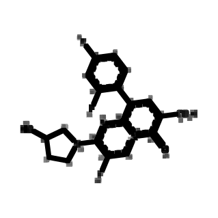 O=C(O)c1cc(-c2ccc(F)cc2F)c2nc(N3CCC(O)C3)c(F)cn2c1=O